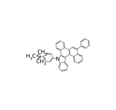 C[Si](C)(C)c1ccc(-n2c3ccccc3c3c4c5ccccc5c(-c5ccccc5)cc4c4ccccc4c32)cc1